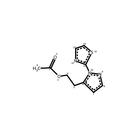 CC(=O)OCCc1ccnn1-c1nccs1